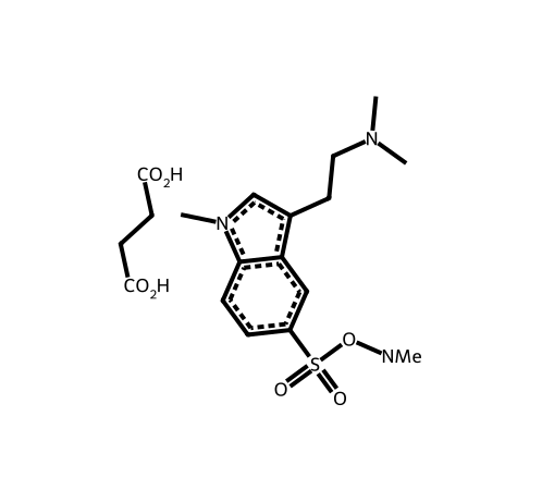 CNOS(=O)(=O)c1ccc2c(c1)c(CCN(C)C)cn2C.O=C(O)CCC(=O)O